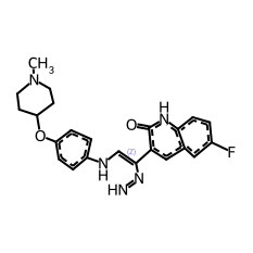 CN1CCC(Oc2ccc(N/C=C(\N=N)c3cc4cc(F)ccc4[nH]c3=O)cc2)CC1